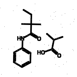 CC(C)C(=O)O.CCC(C)(C)C(=O)Nc1ccccc1